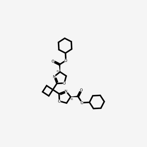 O=C(OC1CCCCC1)[C@H]1COC(C2(C3=N[C@@H](C(=O)OC4CCCCC4)CO3)CCC2)=N1